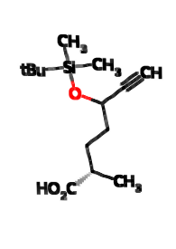 C#CC(CC[C@H](C)C(=O)O)O[Si](C)(C)C(C)(C)C